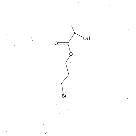 CC(O)C(=O)OCCCBr